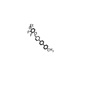 CCOc1ccc(OCC2C=CC(c3ccc(-c4ccc(C)cc4)cc3)CC2)c(F)c1F